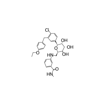 CCOc1ccc(Cc2cc([C@@H]3O[C@H](CNc4cccc(C(=O)NC)c4)[C@H](O)[C@@H](O)[C@H]3O)ccc2Cl)cc1